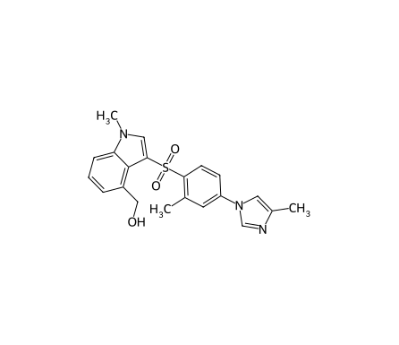 Cc1cn(-c2ccc(S(=O)(=O)c3cn(C)c4cccc(CO)c34)c(C)c2)cn1